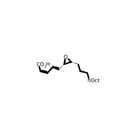 CCCCCCCCCCC[C@H]1O[C@H]1/C=C/C=C\C(=O)O